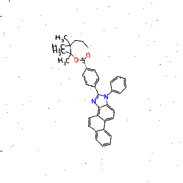 CC1(C)CCCOB(c2ccc(-c3nc4c5ccc6ccccc6c5ccc4n3-c3ccccc3)cc2)OC1(C)C